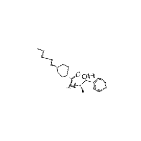 CCCCC[C@H]1CC[C@H](C(=O)N(C)[C@H](C)[C@H](O)c2ccccc2)CC1